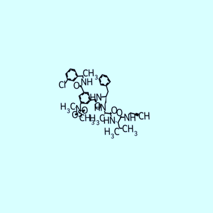 C#CCNC(=O)[C@@H](NC(=O)[C@H](C)NC[C@H](Cc1ccccc1)NC(=O)c1cc(C(=O)N[C@H](C)c2cccc(Cl)c2)cc(N(C)S(C)(=O)=O)c1)C(C)C